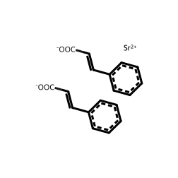 O=C([O-])/C=C/c1ccccc1.O=C([O-])/C=C/c1ccccc1.[Sr+2]